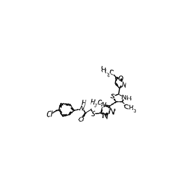 Cc1cc(C2NC(C)C(c3nnc(SCC(=O)Nc4ccc(Cl)cc4)n3C)S2)no1